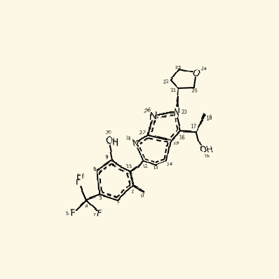 Cc1cc(C(F)(F)F)cc(O)c1-c1ccc2c([C@@H](C)O)n([C@H]3CCOC3)nc2n1